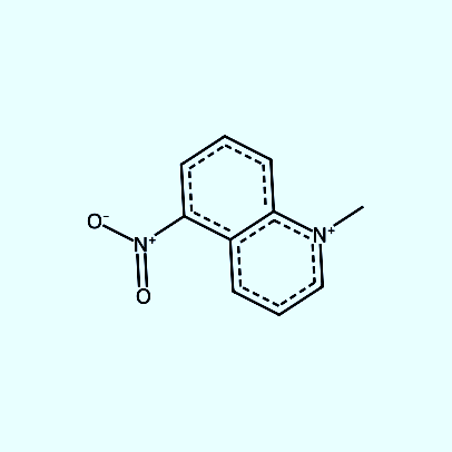 C[n+]1cccc2c([N+](=O)[O-])cccc21